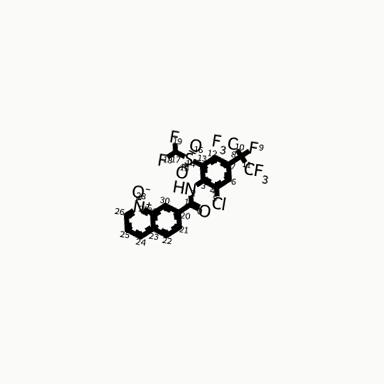 O=C(Nc1c(Cl)cc(C(F)(C(F)(F)F)C(F)(F)F)cc1S(=O)(=O)C(F)F)c1ccc2ccc[n+]([O-])c2c1